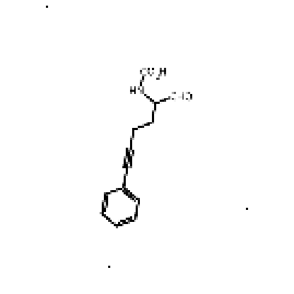 O=CC(CCC#Cc1ccccc1)NC(=O)O